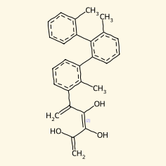 C=C(O)/C(O)=C(/O)C(=C)c1cccc(-c2cccc(C)c2-c2ccccc2C)c1C